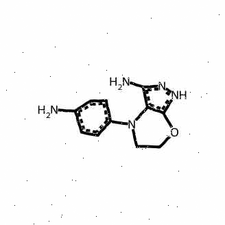 Nc1ccc(N2CCOc3[nH]nc(N)c32)cc1